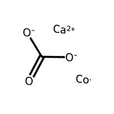 O=C([O-])[O-].[Ca+2].[Co]